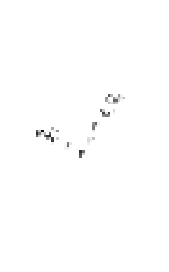 [Ca+2].[F-].[F-].[F-].[F-].[F-].[Mg+2].[Na+]